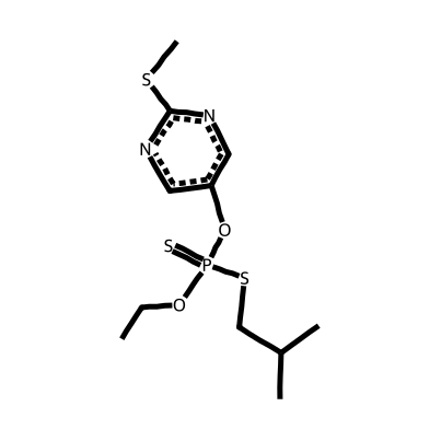 CCOP(=S)(Oc1cnc(SC)nc1)SCC(C)C